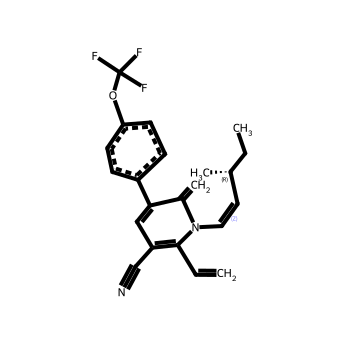 C=CC1=C(C#N)C=C(c2ccc(OC(F)(F)F)cc2)C(=C)N1/C=C\[C@H](C)CC